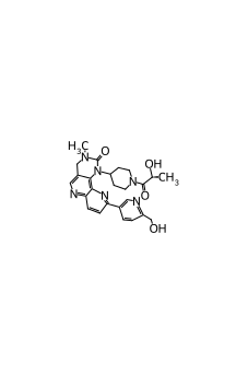 C[C@H](O)C(=O)N1CCC(N2C(=O)N(C)Cc3cnc4ccc(-c5ccc(CO)nc5)nc4c32)CC1